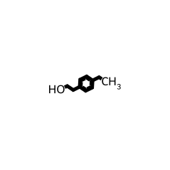 CCc1ccc(CCO)cc1